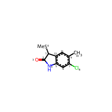 CSC1C(=O)Nc2cc(Cl)c(C)cc21